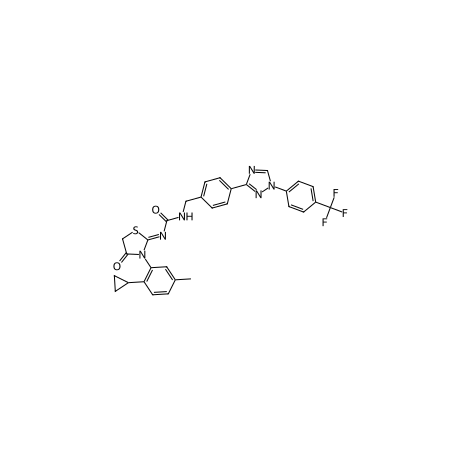 Cc1ccc(C2CC2)c(N2C(=O)CS/C2=N\C(=O)NCc2ccc(-c3ncn(-c4ccc(C(F)(F)F)cc4)n3)cc2)c1